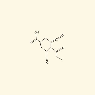 CCC(=O)C1C(=C=O)CC(C(=O)O)CC1=C=O